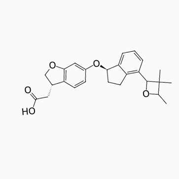 CC1OC(c2cccc3c2CC[C@H]3Oc2ccc3c(c2)OC[C@H]3CC(=O)O)C1(C)C